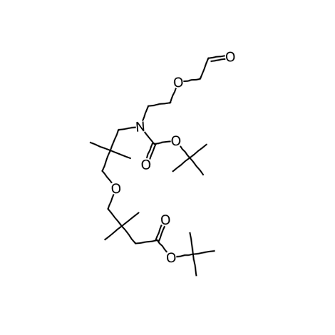 CC(C)(COCC(C)(C)CN(CCOCC=O)C(=O)OC(C)(C)C)CC(=O)OC(C)(C)C